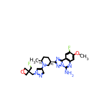 COc1cc2nc(N)n3nc([C@@H]4CC[C@H](C)N(c5cnn(CC6(CF)COC6)c5)C4)nc3c2cc1F